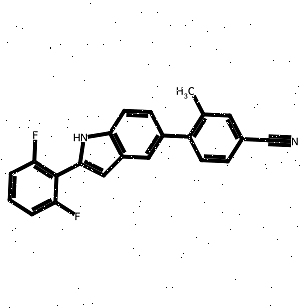 Cc1cc(C#N)ccc1-c1ccc2[nH]c(-c3c(F)cccc3F)cc2c1